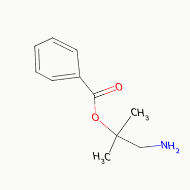 CC(C)(CN)OC(=O)c1ccccc1